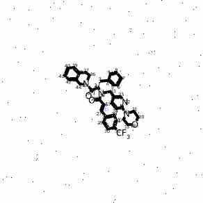 O=C([C@H](Cc1ccccc1)N(Cc1ccc(N2CCOCC2)nc1)C(=O)/C=C/c1ccc(C(F)(F)F)cc1)N1CCc2ccccc2C1